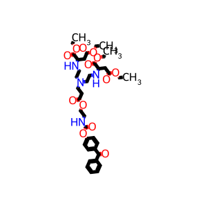 CCOC(=O)CC(NCCN(CCNC(CC(=O)OCC)C(=O)OCC)CCC(=O)OCCNC(=O)Oc1ccc(C(=O)c2ccccc2)cc1)C(=O)OCC